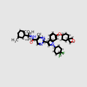 CC1CCCC(C(NC(=O)c2cnc(-c3cn(C4CCC(F)(F)CC4)c4cc(OC5CCC6(CC5)COC6)ccc34)nc2C(F)(F)F)(C(=O)O)C(C)C)C1